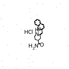 Cl.NC(=O)C1CCNC(=Cc2ccc3ccccc3n2)C1